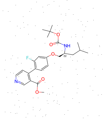 COC(=O)c1cnccc1-c1ccc(OC[C@H](CC(C)C)NC(=O)OC(C)(C)C)cc1F